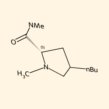 CCCCC1C[C@@H](C(=O)NC)N(C)C1